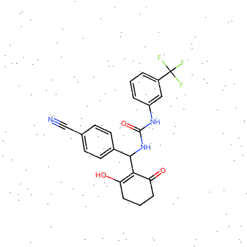 N#Cc1ccc(C(NC(=O)Nc2cccc(C(F)(F)F)c2)C2=C(O)CCCC2=O)cc1